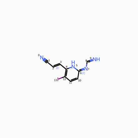 N#C/C=C/c1[nH]/c(=N\C=N)ccc1I